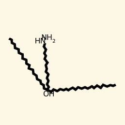 CCCCCCCCCCCCCCCCCCCCCCC(O)(CCCCCCCCCCCCCCCCCCCCC)CCCCCCCCCCCCCCCNN